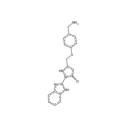 NCc1ccc(SCc2cc(=O)n(-c3nc4ccccc4[nH]3)[nH]2)cc1